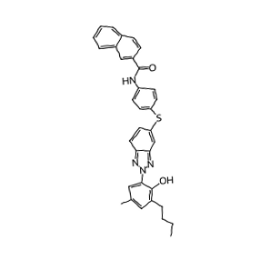 CCCCc1cc(C)cc(-n2nc3ccc(Sc4ccc(NC(=O)c5ccc6ccccc6c5)cc4)cc3n2)c1O